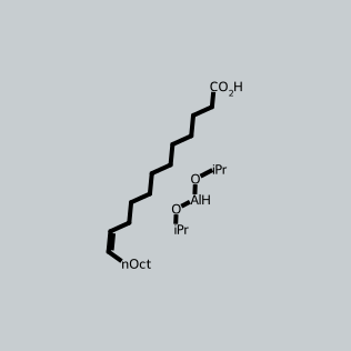 CC(C)[O][AlH][O]C(C)C.CCCCCCCC/C=C\CCCCCCCCCC(=O)O